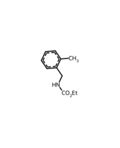 CCOC(=O)NCc1ccccc1C